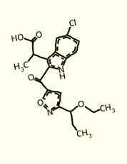 CCOC(CC)c1cc(C(=O)c2[nH]c3ccc(Cl)cc3c2C(C)C(=O)O)on1